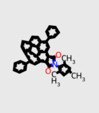 Cc1cc(C)c(-n2c(=O)c3c4cc(-c5ccccc5)c5ccc6ccc7c(-c8ccccc8)cc(c3c2=O)c2c7c6c5c42)c(C)c1